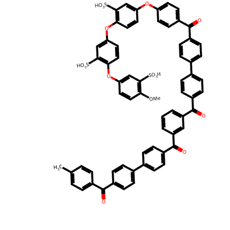 COc1ccc(Oc2ccc(Oc3ccc(Oc4ccc(C(=O)c5ccc(-c6ccc(C(=O)c7cccc(C(=O)c8ccc(-c9ccc(C(=O)c%10ccc(C)cc%10)cc9)cc8)c7)cc6)cc5)cc4)cc3S(=O)(=O)O)cc2S(=O)(=O)O)cc1S(=O)(=O)O